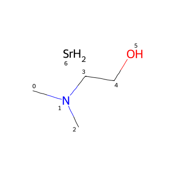 CN(C)CCO.[SrH2]